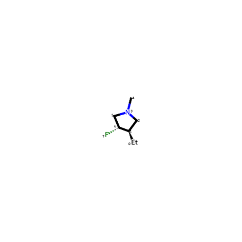 CC[C@@H]1CN(C)C[C@H]1F